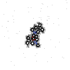 Cc1cccc(C2(c3cccc(N(c4ccccc4)c4ccc5ccc6c(N(c7ccccc7)c7cccc(C8(c9cccc(C)c9)c9cc(C)ccc9-c9ccc(C)cc98)c7)ccc7ccc4c5c76)c3)c3cc(C)ccc3-c3ccc(C)cc32)c1